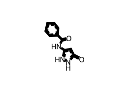 O=C(Nc1cc(=O)[nH][nH]1)c1ccccc1